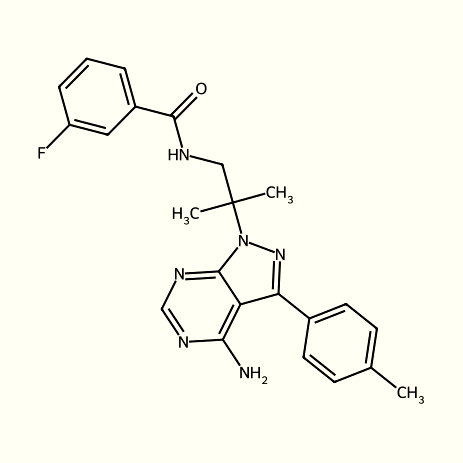 Cc1ccc(-c2nn(C(C)(C)CNC(=O)c3cccc(F)c3)c3ncnc(N)c23)cc1